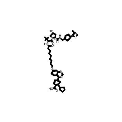 Cc1ncsc1-c1ccc(CNC(=O)[C@@H]2C[C@@H](O)CN2C(=O)[C@@H](NC(=O)CCCCCCCCOc2ccc3c(-c4ccc(C(=O)O)c(C5CCCC5)c4)ncnc3c2)C(C)(C)C)cc1